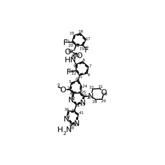 COc1cc(-c2cccc(NS(=O)(=O)c3c(F)cccc3F)c2F)cc2c(N3CCOCC3)nc(-c3cnc(N)nc3)nc12